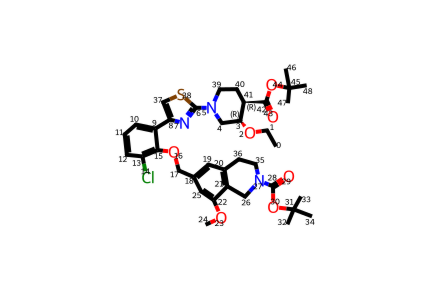 CCO[C@H]1CN(c2nc(-c3cccc(Cl)c3OCc3cc4c(c(OC)c3)CN(C(=O)OC(C)(C)C)CC4)cs2)CC[C@H]1C(=O)OC(C)(C)C